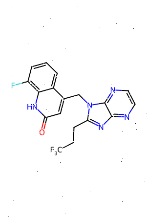 O=c1cc(Cn2c(CCC(F)(F)F)nc3nccnc32)c2cccc(F)c2[nH]1